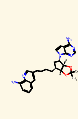 CC1(C)O[C@@H]2[C@@H](CCCCc3cnc4c(N)cccc4c3)C[C@@H](n3ccc4c(N)ncnc43)[C@@H]2O1